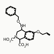 C=CCOc1ccc2c(c1)C(NOCc1ccccc1)CN(C(=O)O)C2C(=O)O